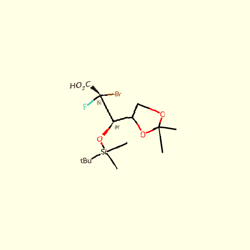 CC1(C)OCC([C@@H](O[Si](C)(C)C(C)(C)C)[C@](F)(Br)C(=O)O)O1